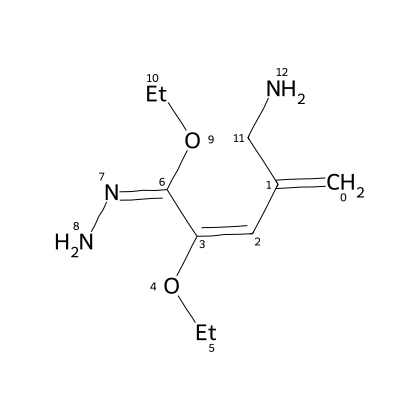 C=C(/C=C(OCC)\C(=N/N)OCC)CN